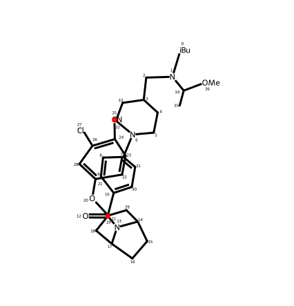 CCC(C)N(CC1CCN(c2ccc(C(=O)N3C4CCC3CC(Oc3ccc(C#N)c(Cl)c3)C4)cc2)CC1)C(C)OC